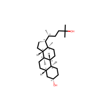 C[C@H](CCC(C)(C)O)[C@H]1CC[C@H]2[C@@H]3CC[C@H]4C[C@@H](O)CC[C@@H]4[C@H]3CC[C@]12C